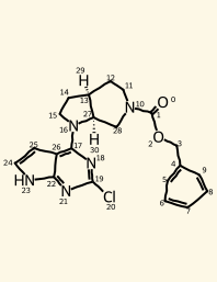 O=C(OCc1ccccc1)N1CC[C@@H]2CCN(c3nc(Cl)nc4[nH]ccc34)[C@@H]2C1